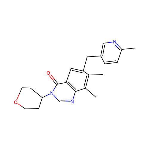 Cc1ccc(Cc2cc3c(=O)n(C4CCOCC4)cnc3c(C)c2C)cn1